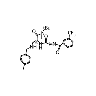 Cc1ccc(CNC[C@H](NC(=O)CNC(=O)c2cccc(C(F)(F)F)c2)C(=O)NC(C)(C)C)cc1